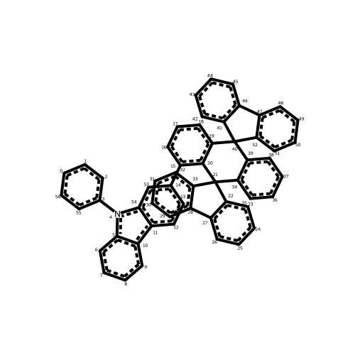 c1ccc(-n2c3ccccc3c3ccc(-c4cccc5c4C4(c6ccccc6-c6ccccc64)c4ccccc4C54c5ccccc5-c5ccccc54)cc32)cc1